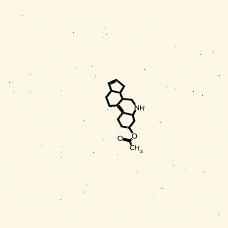 CC(=O)OC1CCC2=C3CCC4C=CCC4C3CNC2C1